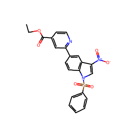 CCOC(=O)c1ccnc(-c2ccc3c(c2)c([N+](=O)[O-])cn3S(=O)(=O)c2ccccc2)c1